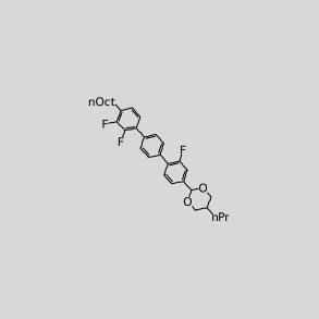 CCCCCCCCc1ccc(-c2ccc(-c3ccc(C4OCC(CCC)CO4)cc3F)cc2)c(F)c1F